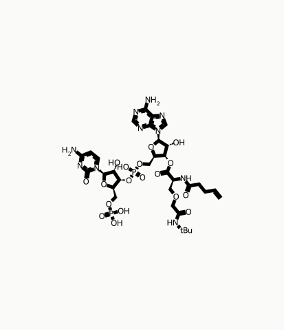 C=CCCC(=O)N[C@@H](COCC(=O)NC(C)(C)C)C(=O)O[C@H]1[C@@H](O)[C@H](n2cnc3c(N)ncnc32)O[C@@H]1COP(=O)(O)O[C@H]1[C@@H](O)[C@H](n2ccc(N)nc2=O)O[C@@H]1COP(=O)(O)O